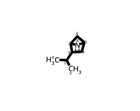 CC(C)C1CC2CC1N2